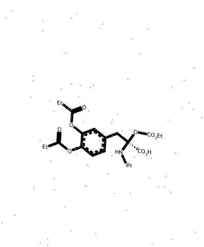 CCOC(=O)O[C@](Cc1ccc(OC(=O)CC)c(OC(=O)CC)c1)(NC(C)C)C(=O)O